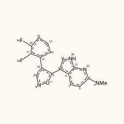 CNc1ccc2c(-c3oncc3-c3cccc(F)c3F)c[nH]c2n1